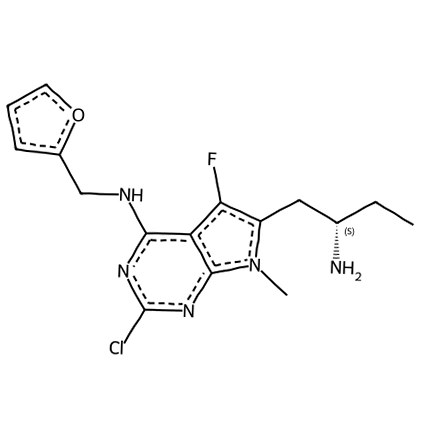 CC[C@H](N)Cc1c(F)c2c(NCc3ccco3)nc(Cl)nc2n1C